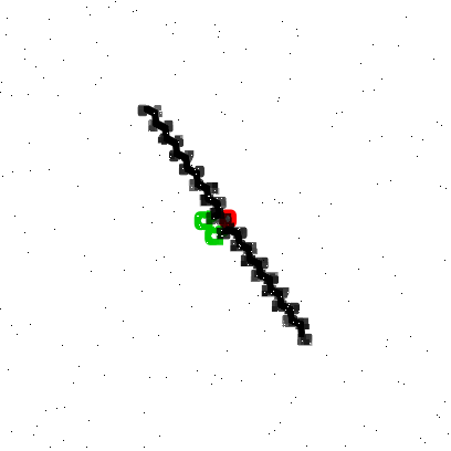 CCCCCCCCCCCCCCC(Cl)OC(Cl)CCCCCCCCCCCCCC